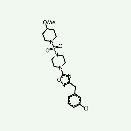 COC1CCN(S(=O)(=O)N2CCN(c3nc(Cc4cccc(Cl)c4)no3)CC2)CC1